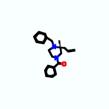 C=CC[C@@]1(C)CN(C(=O)c2ccccc2)CCN1Cc1ccccc1